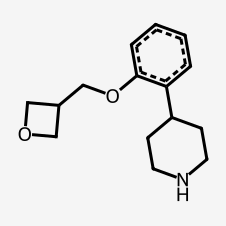 c1ccc(C2CCNCC2)c(OCC2COC2)c1